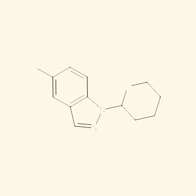 Ic1ccc2c(cnn2C2CCCCO2)c1